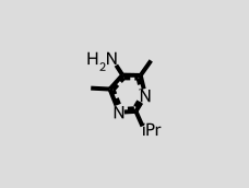 Cc1nc(C(C)C)nc(C)c1N